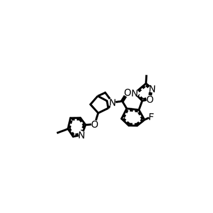 Cc1ccc(OC2CC3CC2N(C(=O)c2cccc(F)c2-c2nc(C)no2)C3)nc1